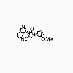 COc1cc(N2CC(C#N)N(c3cncc4ccccc34)C2=O)ccn1